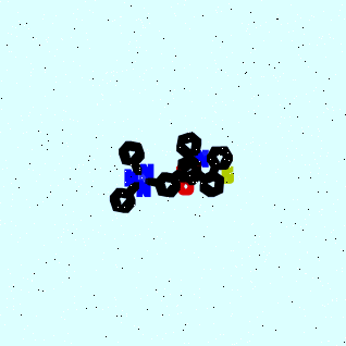 c1ccc(-c2nc(-c3ccccc3)nc(-c3ccc4oc5c(-c6cccc7sc8cccc(-n9c%10ccccc%10c%10ccccc%109)c8c67)cccc5c4c3)n2)cc1